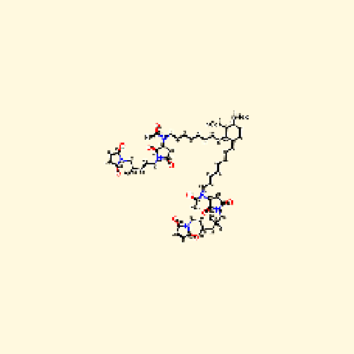 CCCCCCCCC1C(CCCCCC)CCC(CCCCCCCCN(C(=O)CC)C2CC(=O)N(CC(C)(C)CC(C)CCN3C(=O)C=CC3=O)C2=O)C1CCCCCCCCN(C(=O)CC)C1CC(=O)N(CCCC(C)CN2C(=O)C=CC2=O)C1=O